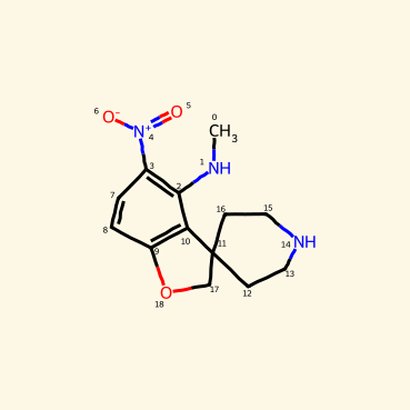 CNc1c([N+](=O)[O-])ccc2c1C1(CCNCC1)CO2